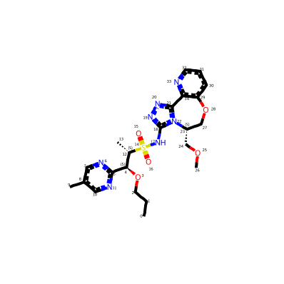 CCCO[C@@H](c1ncc(C)cn1)[C@H](C)S(=O)(=O)Nc1nnc2n1[C@@H](COC)COc1cccnc1-2